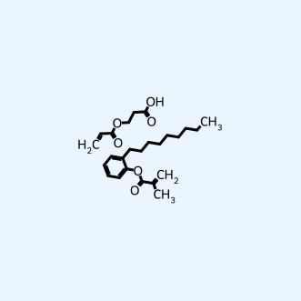 C=C(C)C(=O)Oc1ccccc1CCCCCCCCC.C=CC(=O)OCCC(=O)O